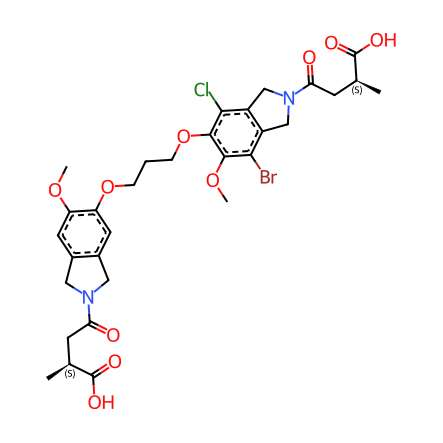 COc1cc2c(cc1OCCCOc1c(Cl)c3c(c(Br)c1OC)CN(C(=O)C[C@H](C)C(=O)O)C3)CN(C(=O)C[C@H](C)C(=O)O)C2